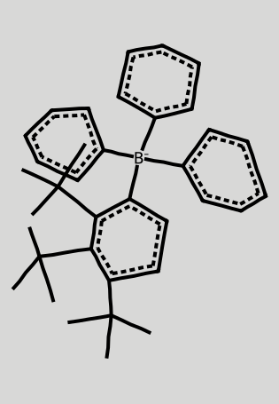 CC(C)(C)c1ccc([B-](c2ccccc2)(c2ccccc2)c2ccccc2)c(C(C)(C)C)c1C(C)(C)C